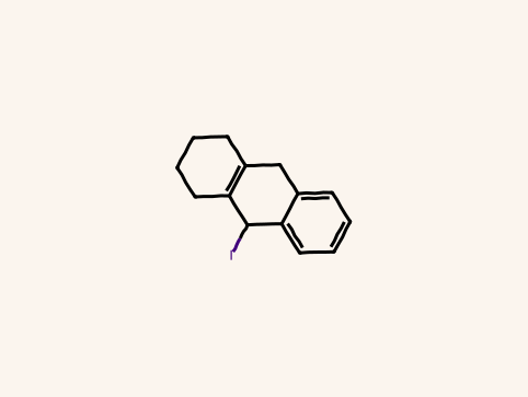 IC1C2=C(CCCC2)Cc2ccccc21